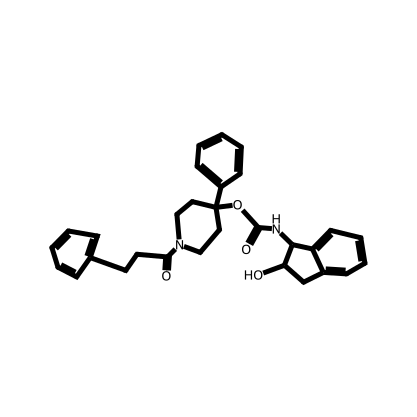 O=C(NC1c2ccccc2CC1O)OC1(c2ccccc2)CCN(C(=O)CCc2ccccc2)CC1